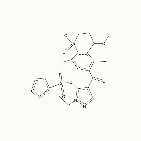 CCn1ncc(C(=O)c2cc(C)c3c(c2C)C(OC)CCS3(=O)=O)c1OS(=O)(=O)c1ccccc1